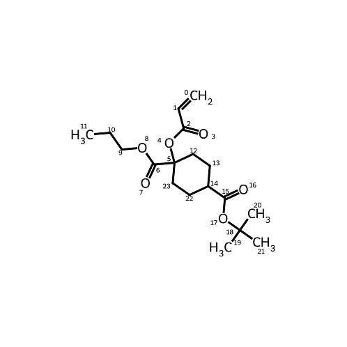 C=CC(=O)OC1(C(=O)OCCC)CCC(C(=O)OC(C)(C)C)CC1